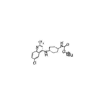 CC(C)(C)OC(=O)NC1CCC(Nc2cc(C(F)(F)F)nc3ccc(Cl)cc23)CC1